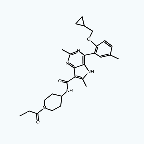 CCC(=O)N1CCC(NC(=O)c2c(C)[nH]c3c(-c4cc(C)ccc4OCC4CC4)nc(C)nc23)CC1